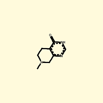 CN1CCc2c(nc[nH]c2=O)C1